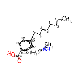 CCCCCCCCc1ccc(C(=O)O)cc1.CNC